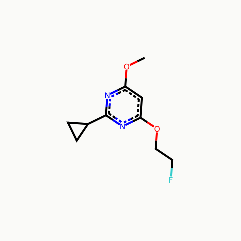 COc1cc(OCCF)nc(C2CC2)n1